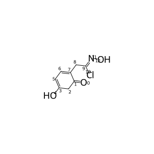 O=C1CC(O)=CC=C1CC(Cl)=NO